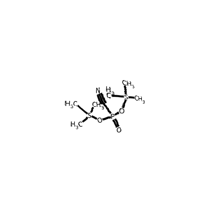 CS(C)(C)OP(=O)(C#N)OS(C)(C)C